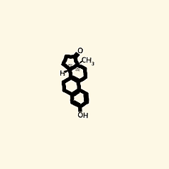 C[C@]12CCC3=C(CCc4cc(O)ccc43)[C@@H]1CCC2=O